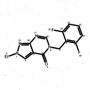 CCn1cc2c(=O)n(Cc3c(F)cccc3F)cnc2n1